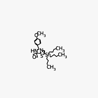 CCC[CH2][Sn]([CH2]CCC)([CH2]CCC)[c]1cnc(C2(NCc3ccc(OC)cc3)COC2)s1